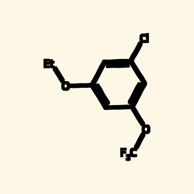 CCOc1cc(Cl)cc(OC(F)(F)F)c1